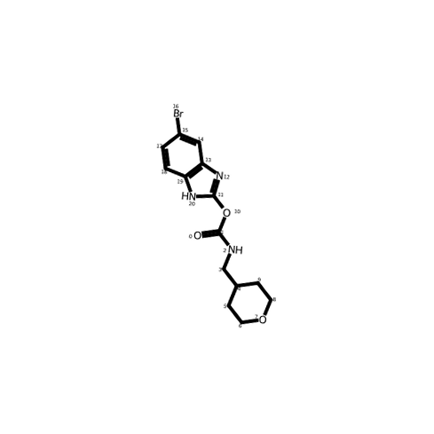 O=C(NCC1CCOCC1)Oc1nc2cc(Br)ccc2[nH]1